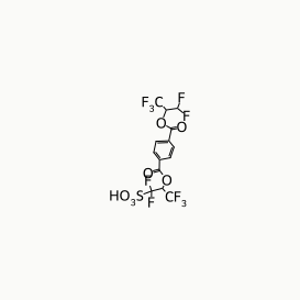 O=C(OC(C(F)F)C(F)(F)F)c1ccc(C(=O)OC(C(F)(F)F)C(F)(F)S(=O)(=O)O)cc1